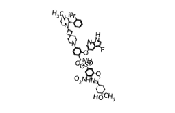 CC(C)c1ccccc1[C@@H]1CN(C)CCN1C1CC2(CCN(c3ccc(C(=O)NS(=O)(=O)c4cc5c(c([N+](=O)[O-])c4)N[C@@H]([C@H]4CC[C@](C)(O)CC4)CO5)c(Oc4cnc5[nH]cc(F)c5c4)c3)CC2)C1